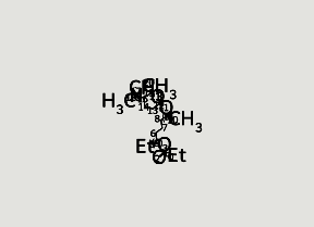 CCC(=O)O[C@@H](CC)CCC[C@@H](C)OC1CCC(N(C)C)C(C)O1